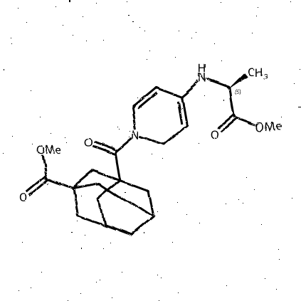 COC(=O)[C@H](C)NC1=CCN(C(=O)C23CC4CC(CC(C(=O)OC)(C4)C2)C3)C=C1